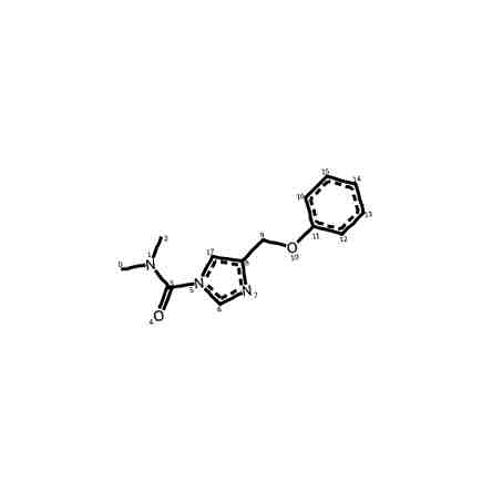 CN(C)C(=O)n1cnc(COc2ccccc2)c1